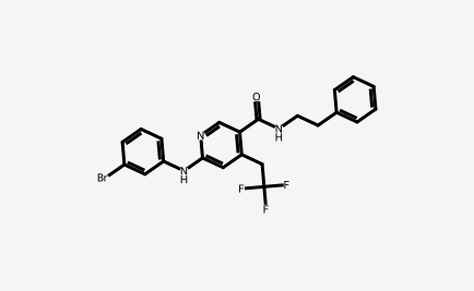 O=C(NCCc1ccccc1)c1cnc(Nc2cccc(Br)c2)cc1CC(F)(F)F